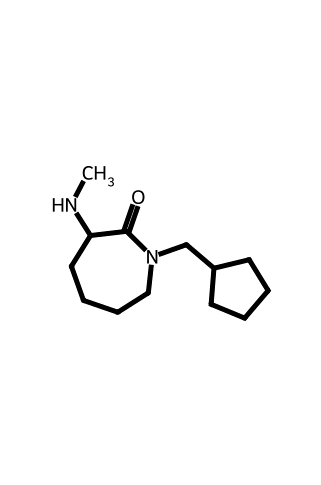 CNC1CCCCN(CC2CCCC2)C1=O